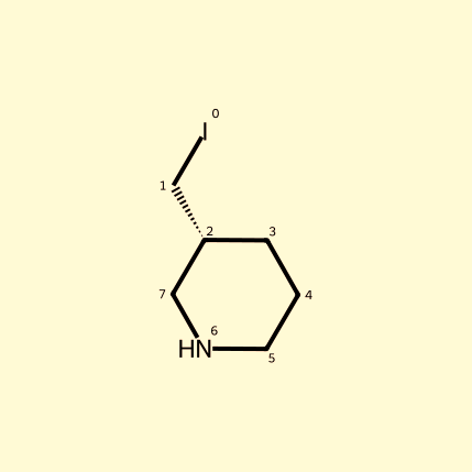 IC[C@@H]1CCCNC1